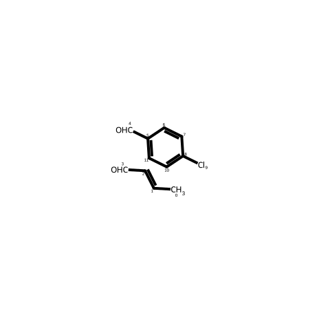 CC=CC=O.O=Cc1ccc(Cl)cc1